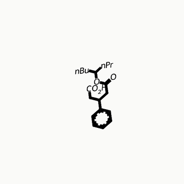 CCCCC(CCC)OC(=O)CC(CC(=O)O)c1ccccc1